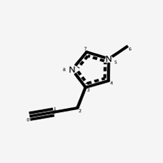 C#CCc1cn(C)cn1